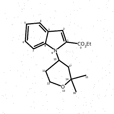 CCOC(=O)c1cc2ccccc2n1C1CCOC(C)(C)C1